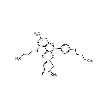 CCCCOc1ccc(-c2oc3cc(C)cc(OCCCC)c3c(=O)c2OC2C=CC(=O)[C@H](C)C2)cc1